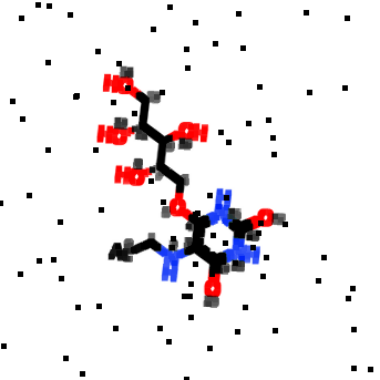 CC(=O)CNc1c(OC[C@H](O)[C@H](O)[C@H](O)CO)[nH]c(=O)[nH]c1=O